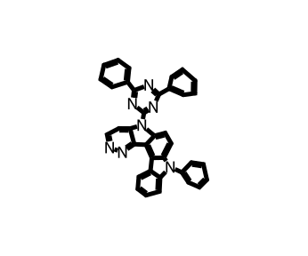 c1ccc(-c2nc(-c3ccccc3)nc(-n3c4ccnnc4c4c5c6ccccc6n(-c6ccccc6)c5ccc43)n2)cc1